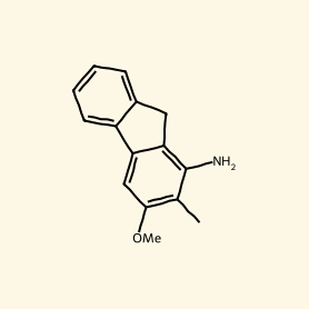 COc1cc2c(c(N)c1C)Cc1ccccc1-2